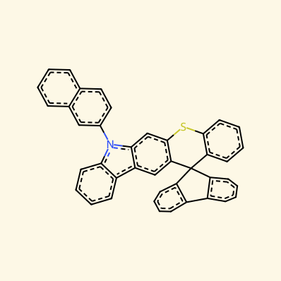 c1ccc2c(c1)Sc1cc3c(cc1C21c2ccccc2-c2ccccc21)c1ccccc1n3-c1ccc2ccccc2c1